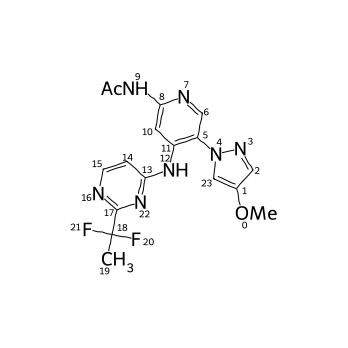 COc1cnn(-c2cnc(NC(C)=O)cc2Nc2ccnc(C(C)(F)F)n2)c1